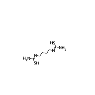 NC(S)=NCCCCN=C(N)S